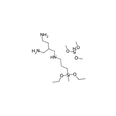 CCO[Si](C)(CCCNCC(CN)CCN)OCC.CO[SiH](OC)OC